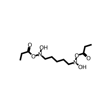 CCC(=O)ON(O)CCCCCN(O)OC(=O)CC